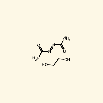 NC(=O)N=NC(N)=O.OCCO